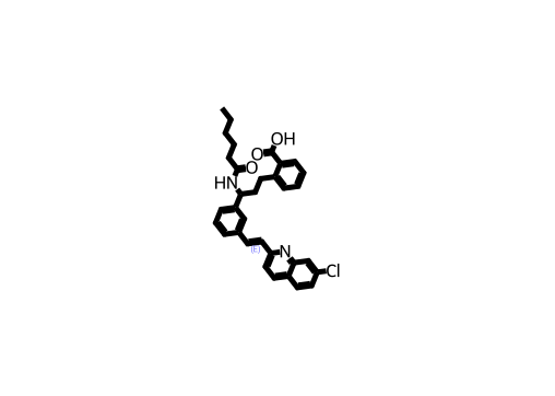 CCCCCC(=O)NC(CCc1ccccc1C(=O)O)c1cccc(/C=C/c2ccc3ccc(Cl)cc3n2)c1